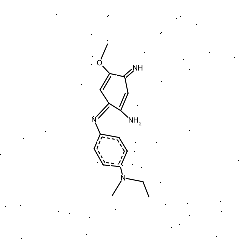 CCN(C)c1ccc(/N=C2/C=C(OC)C(=N)C=C2N)cc1